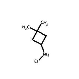 CCNC1CC(C)(C)C1